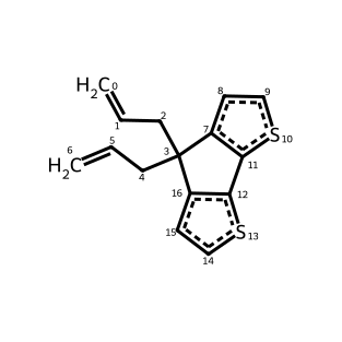 C=CCC1(CC=C)c2ccsc2-c2sccc21